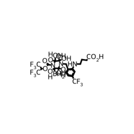 BC1(O)N(C(=O)OC(C(F)(F)F)C(F)(F)F)C(O)(O)C(O)(O)N(Cc2ccc(C(F)(F)F)cc2NCCCC(=O)O)C1(O)O